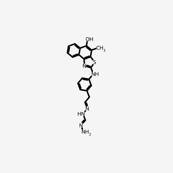 Cc1c(O)c2ccccc2c2nc(Nc3cccc(CC=NNC=NN)c3)sc12